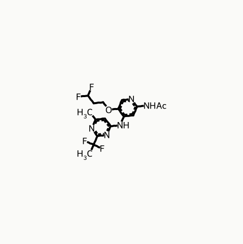 CC(=O)Nc1cc(Nc2cc(C)nc(C(C)(F)F)n2)c(OCCC(F)F)cn1